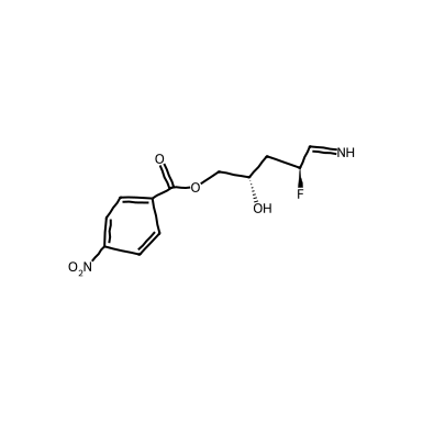 N=C[C@@H](F)C[C@H](O)COC(=O)c1ccc([N+](=O)[O-])cc1